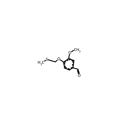 COc1cc(C=O)ccc1OCSC